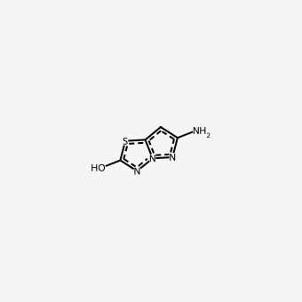 Nc1cc2sc(O)nn2n1